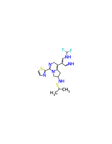 CC(C)SNC1CC2=C(/C(C=N)=C/NC(F)F)CN=C(c3nccs3)N2C1